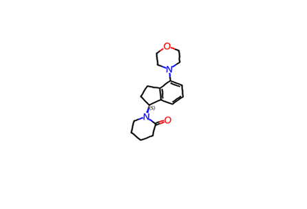 O=C1CCCCN1[C@H]1CCc2c1cccc2N1CCOCC1